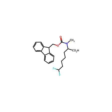 CN(C(=O)OCC1c2ccccc2-c2ccccc21)C(CCCCC(F)F)C(=O)O